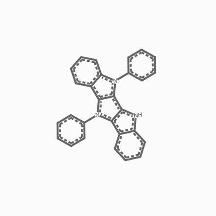 c1ccc(-n2c3ccccc3c3c2c2[nH]c4ccccc4c2n3-c2ccccc2)cc1